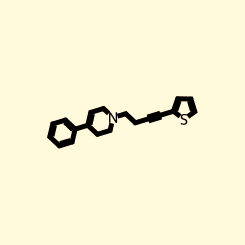 C(#Cc1cccs1)CCN1CC=C(c2ccccc2)CC1